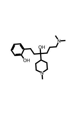 CN(C)CCCC(O)(CCc1ccccc1O)C1CCN(C)CC1